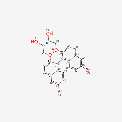 OCCOc1ccc2cc(Br)ccc2c1-c1c(OCCO)ccc2cc(Br)ccc12